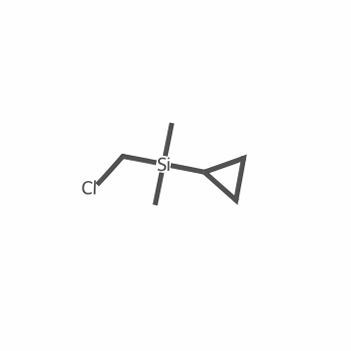 C[Si](C)(CCl)C1CC1